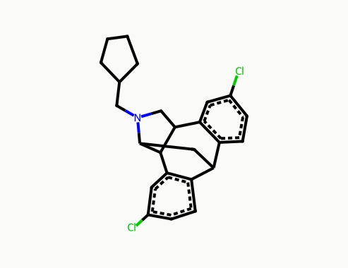 Clc1ccc2c(c1)C1CN(CC3CCCC3)C3CC2c2ccc(Cl)cc2C13